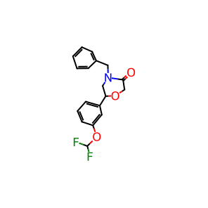 O=C1COC(c2cccc(OC(F)F)c2)CN1Cc1ccccc1